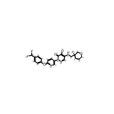 O=c1c(Cl)c(NC[C@@]2(F)CCCOC2)cnn1-c1ccc(Oc2ccc(C(F)F)cc2)nc1